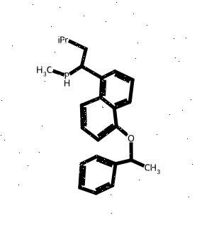 CPC(CC(C)C)c1cccc2c(OC(C)c3ccccc3)cccc12